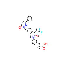 CC(C(C(=O)Nc1cccc(CC2(C(=O)O)CC2)c1)c1ccc(CN2N=C(c3ccccc3)CCC2=O)cc1)C(F)(F)F